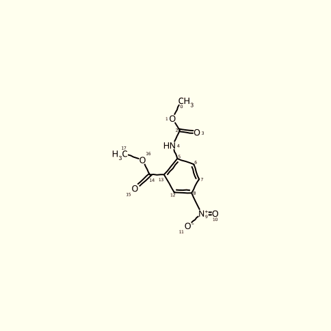 COC(=O)Nc1ccc([N+](=O)[O-])cc1C(=O)OC